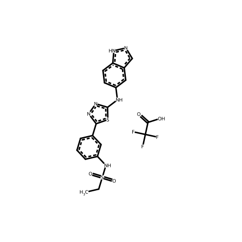 CCS(=O)(=O)Nc1cccc(-c2nnc(Nc3ccc4[nH]ncc4c3)s2)c1.O=C(O)C(F)(F)F